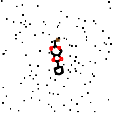 BrCC1OCC2OC(c3ccccc3)OC2CO1